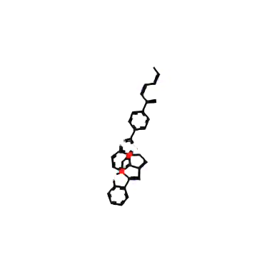 C=C(/C=C\C=C/C)c1ccc(-c2nc3c(C4=C\CCCC5Sc6ccccc6\C5=C\4)cccc3o2)cc1